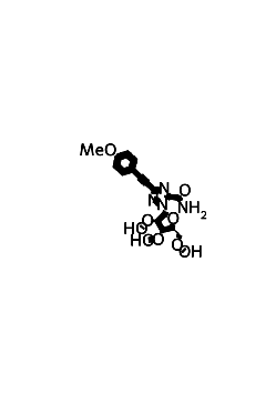 COc1ccc(C#Cc2nc(C(N)=O)n([C@@H]3O[C@H](COO)[C@@H](OO)[C@H]3OO)n2)cc1